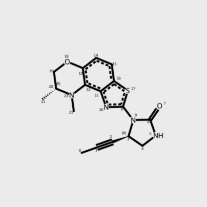 CC#C[C@@H]1CNC(=O)N1c1nc2c3c(ccc2s1)OC[C@@H](C)N3C